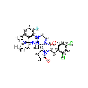 CCNC(CC(C)C)(c1cccc(F)c1N1CCN(C(=O)C(Cc2ccc(Cl)cc2Cl)N2CCCC2=O)CC1)N(C)C